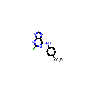 CCOC(=O)c1ccc(Nc2[nH]c(Cl)nc3ncnc2-3)cc1